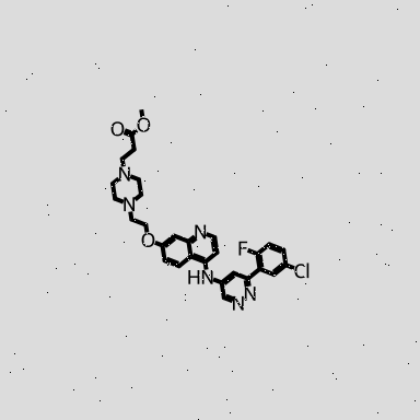 COC(=O)CCN1CCN(CCOc2ccc3c(Nc4cnnc(-c5cc(Cl)ccc5F)c4)ccnc3c2)CC1